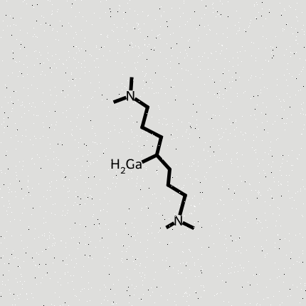 CN(C)CCC[CH]([GaH2])CCCN(C)C